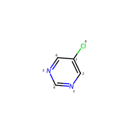 Clc1cn[c]nc1